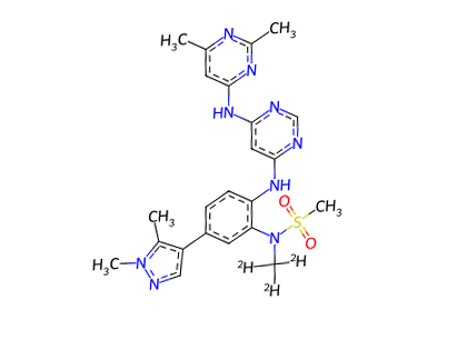 [2H]C([2H])([2H])N(c1cc(-c2cnn(C)c2C)ccc1Nc1cc(Nc2cc(C)nc(C)n2)ncn1)S(C)(=O)=O